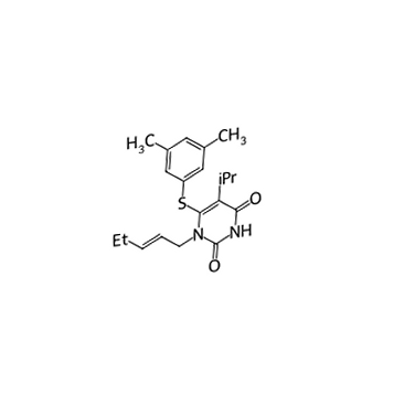 CCC=CCn1c(Sc2cc(C)cc(C)c2)c(C(C)C)c(=O)[nH]c1=O